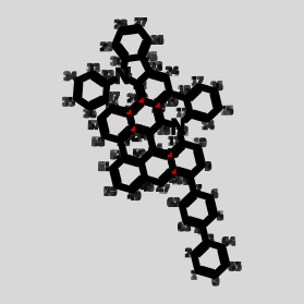 c1ccc(-c2ccc(-c3ccc(N(c4ccccc4-c4ccc5c(c4)c4ccccc4n5-c4ccccc4)c4ccccc4-c4cccc5cccc(-c6ccccc6)c45)cc3)cc2)cc1